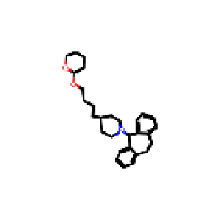 c1ccc2c(c1)CCc1ccccc1C2N1CCC(CCCCOC2CCCCO2)CC1